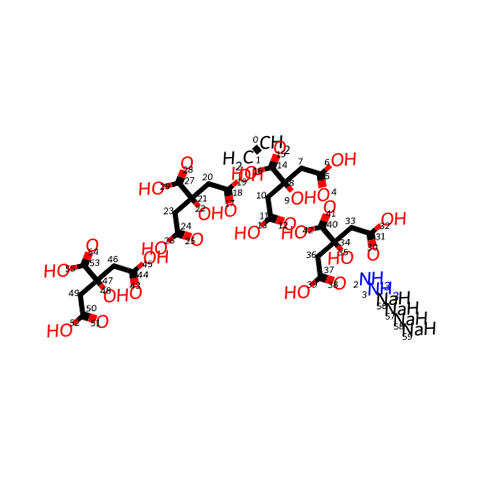 C=C.N.N.O=C(O)CC(O)(CC(=O)O)C(=O)O.O=C(O)CC(O)(CC(=O)O)C(=O)O.O=C(O)CC(O)(CC(=O)O)C(=O)O.O=C(O)CC(O)(CC(=O)O)C(=O)O.[NaH].[NaH].[NaH].[NaH]